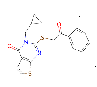 O=C(CSc1nc2sccc2c(=O)n1CC1CC1)c1ccccc1